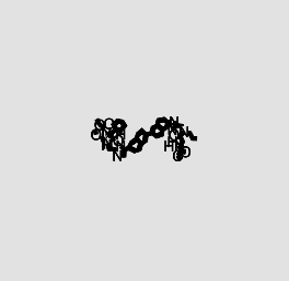 CCCN(Cc1nc2ccc3cc(-c4ccc5cc(-c6cnc(CN(CCOC)C(=O)[C@H](NC(=O)OC)c7ccccc7)[nH]6)ccc5c4)ccc3c2[nH]1)C(=O)CNC(=O)OC